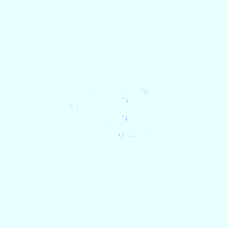 COC(=O)c1nc(-c2ccc(C(F)(F)F)cc2F)nc(N)c1Cl